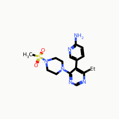 CCc1ncnc(N2CCN(S(C)(=O)=O)CC2)c1-c1ccc(N)nc1